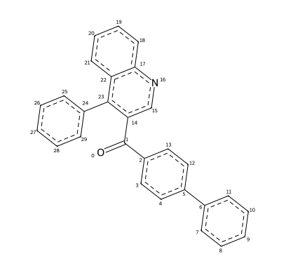 O=C(c1ccc(-c2ccccc2)cc1)c1cnc2ccccc2c1-c1ccccc1